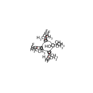 CC(C)(C)c1cc2c(O)c(c1)Cc1cc(C(C)(C)C)cc(c1OCCCC(F)(F)F)Cc1cc(C(C)(C)C)cc(c1OCCCC(F)(F)F)Cc1cc(C(C)(C)C)cc(c1OCCCC(F)(F)F)C2